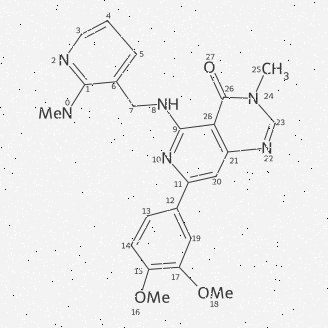 CNc1ncccc1CNc1nc(-c2ccc(OC)c(OC)c2)cc2ncn(C)c(=O)c12